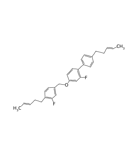 C/C=C/CCc1ccc(-c2ccc(OCc3ccc(CC/C=C/C)c(F)c3)cc2F)cc1